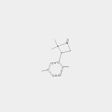 Cc1ccc(F)cc1C1CC(=O)C1(Cl)Cl